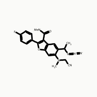 CNC(=O)c1c(-c2ccc(F)cc2)oc2cc(N(C)CC#N)c(C(C)N=[N+]=[N-])cc12